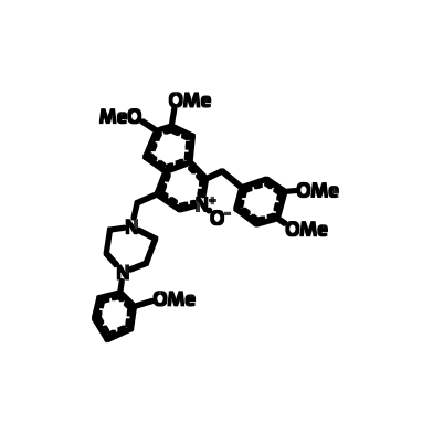 COc1ccc(Cc2c3cc(OC)c(OC)cc3c(CN3CCN(c4ccccc4OC)CC3)c[n+]2[O-])cc1OC